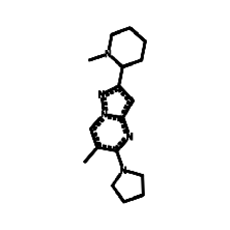 Cc1cn2nc(C3CCCCN3C)cc2nc1N1CCCC1